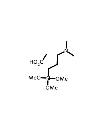 CC(=O)O.CO[Si](CCCN(C)C)(OC)OC